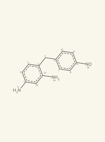 Nc1ccc(Cc2ccc(N=O)cc2)c(N)c1